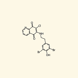 O=C1C(NCCc2cc(Br)c(O)c(Br)c2)=C(Cl)C(=O)c2ncccc21